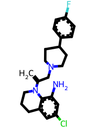 C=C(CN1CCC(c2ccc(F)cc2)CC1)N1CCCc2cc(Cl)cc(N)c21